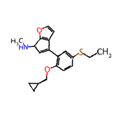 CCSc1ccc(OCC2CC2)c(C2=CC(NC)c3occc32)c1